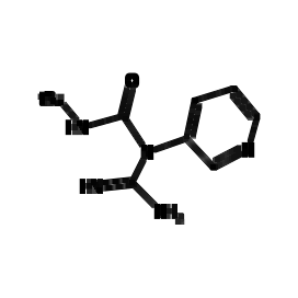 CC(C)(C)NC(=O)N(C(=N)N)c1cccnc1